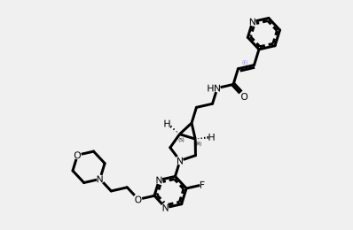 O=C(/C=C/c1cccnc1)NCCC1[C@H]2CN(c3nc(OCCN4CCOCC4)ncc3F)C[C@@H]12